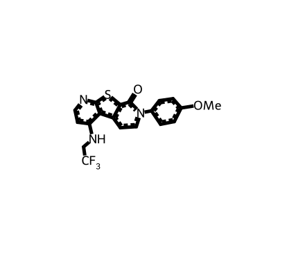 COc1ccc(-n2ccc3c(sc4nccc(NCC(F)(F)F)c43)c2=O)cc1